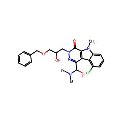 CCN(CC)C(O)c1nn(CC(O)COCc2ccccc2)c(=O)c2c1c1c(Cl)cccc1n2C